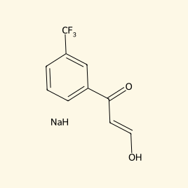 O=C(/C=C/O)c1cccc(C(F)(F)F)c1.[NaH]